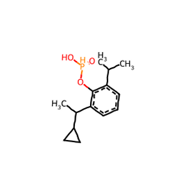 CC(C)c1cccc(C(C)C2CC2)c1O[PH](=O)O